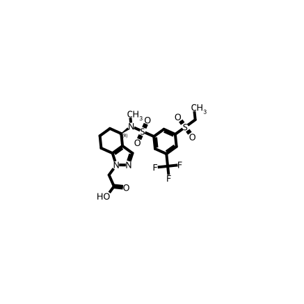 CCS(=O)(=O)c1cc(C(F)(F)F)cc(S(=O)(=O)N(C)[C@@H]2CCCc3c2cnn3CC(=O)O)c1